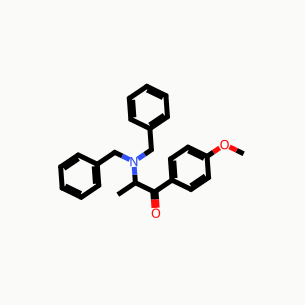 COc1ccc(C(=O)C(C)N(Cc2ccccc2)Cc2ccccc2)cc1